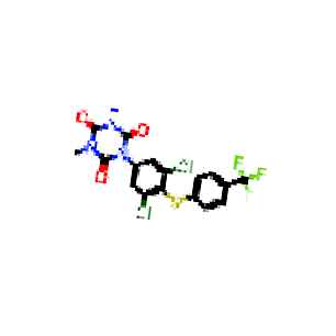 Cn1c(=O)[nH]c(=O)n(-c2cc(Cl)c(Sc3ccc(C(F)(F)F)cc3)c(Cl)c2)c1=O